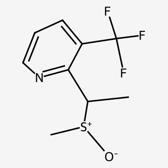 CC(c1ncccc1C(F)(F)F)[S+](C)[O-]